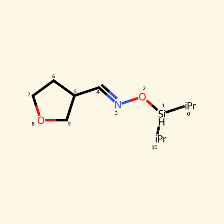 CC(C)[SiH](ON=CC1CCOC1)C(C)C